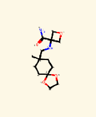 CC1(CNC2(C(N)=O)COC2)CCC2(CC1)OCCO2